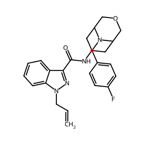 C=CCn1nc(C(=O)NC2CC3COCC(C2)N3Cc2ccc(F)cc2)c2ccccc21